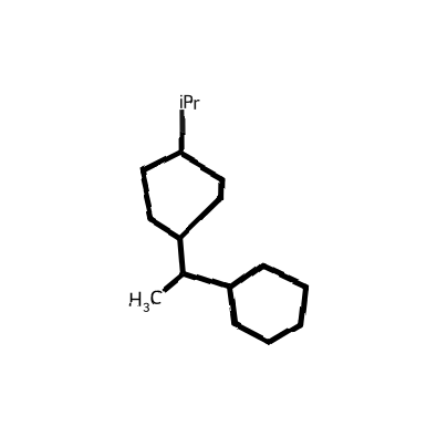 CC(C)C1CCC(C(C)C2CCCCC2)CC1